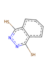 Sc1nnc(S)c2ccccc12